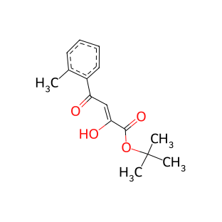 Cc1ccccc1C(=O)/C=C(\O)C(=O)OC(C)(C)C